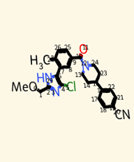 COCc1nc(Cl)c(-c2cc(C(=O)N3CCC(c4ccc(C#N)cc4)CC3)ccc2C)[nH]1